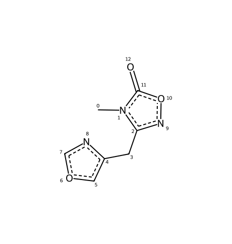 Cn1c(Cc2cocn2)noc1=O